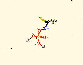 CCOP(=O)(OCC)ONC(=S)C(C)(C)C